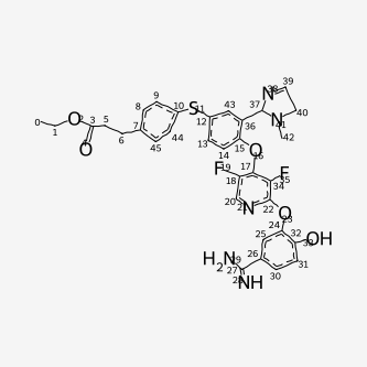 CCOC(=O)CCc1ccc(Sc2ccc(Oc3c(F)cnc(Oc4cc(C(=N)N)ccc4O)c3F)c(C3N=CCN3C)c2)cc1